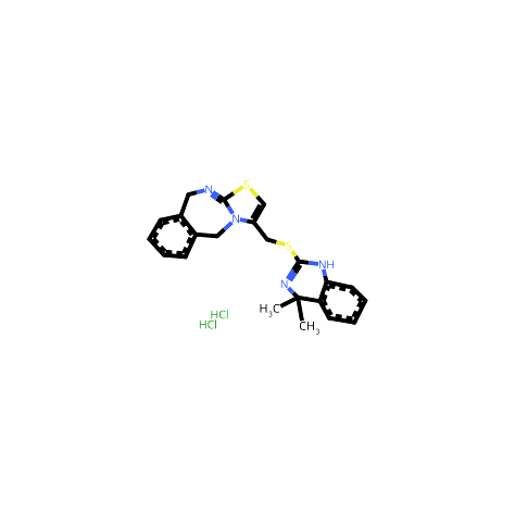 CC1(C)N=C(SCC2=CSC3=NCc4ccccc4CN23)Nc2ccccc21.Cl.Cl